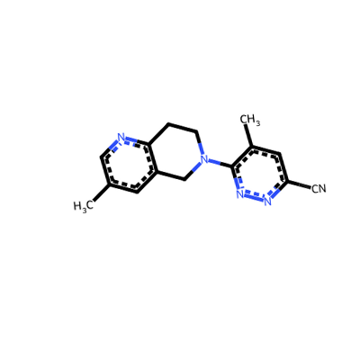 Cc1cnc2c(c1)CN(c1nnc(C#N)cc1C)CC2